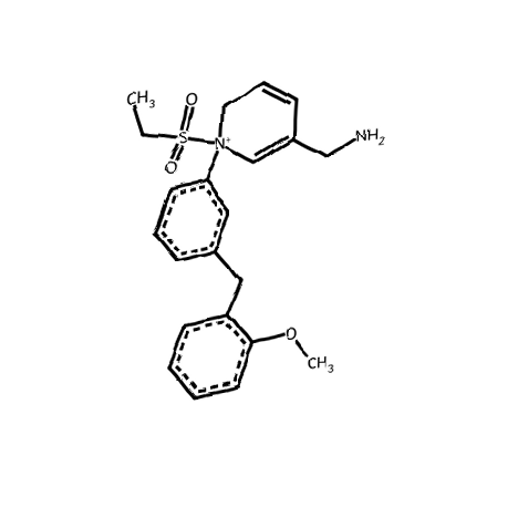 CCS(=O)(=O)[N+]1(c2cccc(Cc3ccccc3OC)c2)C=C(CN)C=CC1